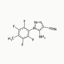 Cc1c(F)c(F)c(-n2ncc(C#N)c2N)c(F)c1F